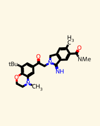 CNC(=O)c1cc2c(cc1C)CN(CC(=O)c1cc3c(c(C(C)(C)C)c1)OCCN3C)C2=N